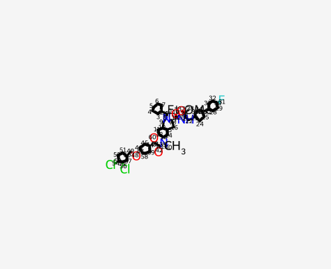 CC[C@@H](c1ccccc1)N1Cc2cc3c(cc2C[C@H]1C(=O)NC(Cc1ccc(-c2ccc(F)cc2)cc1)C(=O)OC)N(C)C(=O)[C@H](c1ccc(OCc2ccc(Cl)c(Cl)c2)cc1)O3